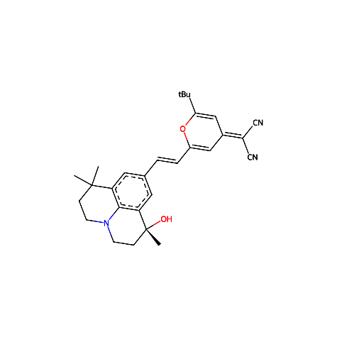 CC(C)(C)C1=CC(=C(C#N)C#N)C=C(/C=C/c2cc3c4c(c2)[C@](C)(O)CCN4CCC3(C)C)O1